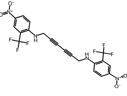 O=[N+]([O-])c1ccc(NCC#CC#CCNc2ccc([N+](=O)[O-])cc2C(F)(F)F)c(C(F)(F)F)c1